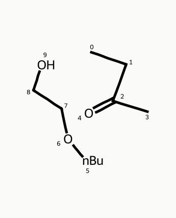 CCC(C)=O.CCCCOCCO